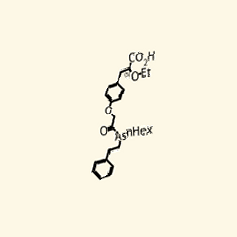 CCCCCC[As](CCc1ccccc1)C(=O)COc1ccc(C[C@H](OCC)C(=O)O)cc1